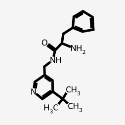 CC(C)(C)c1cncc(CNC(=O)C(N)Cc2ccccc2)c1